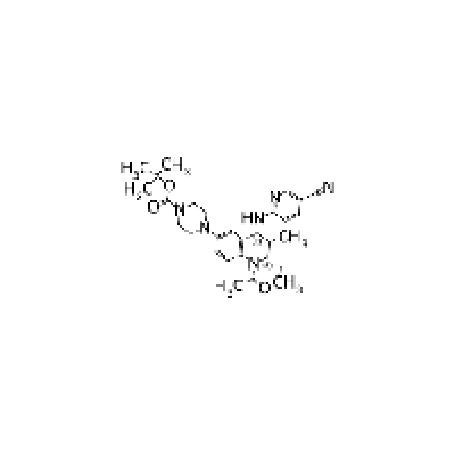 CC[C@H]1C(C)[C@@H](Nc2ccc(C#N)cn2)c2cc(N3CCN(C(=O)OC(C)(C)C)CC3)ccc2N1C(C)=O